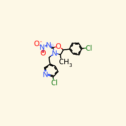 CC1C(c2ccc(Cl)cc2)O/C(=N/[N+](=O)[O-])N1Cc1ccc(Cl)nc1